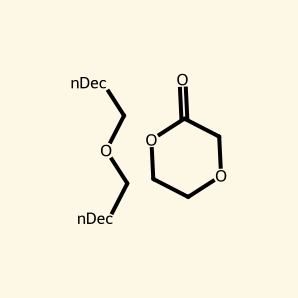 CCCCCCCCCCCOCCCCCCCCCCC.O=C1COCCO1